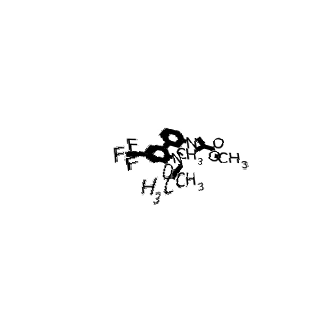 COC(=O)C1CN(c2cccc(-c3cc(C(F)(F)F)cc4c3N(C)CC(C)(C)O4)c2)C1